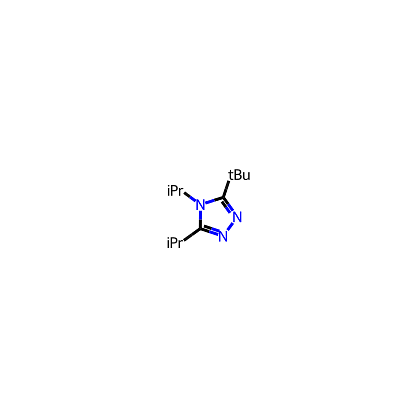 CC(C)c1nnc(C(C)(C)C)n1C(C)C